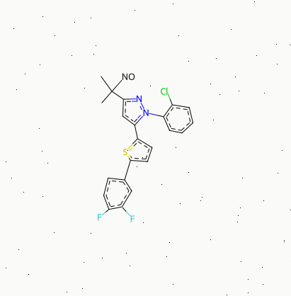 CC(C)(N=O)c1cc(-c2ccc(-c3ccc(F)c(F)c3)s2)n(-c2ccccc2Cl)n1